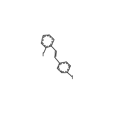 Ic1ccc(C=Cc2ccccc2I)cc1